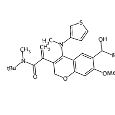 C=C(C(=O)N(C)C(C)(C)C)C1=C(N(C)c2ccsc2)c2cc(C(O)C(C)C)c(OC)cc2OC1